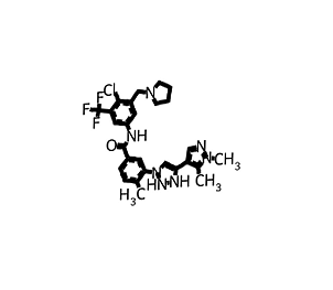 Cc1ccc(C(=O)Nc2cc(CN3CCCC3)c(Cl)c(C(F)(F)F)c2)cc1N1C=C(c2cnn(C)c2C)NN1